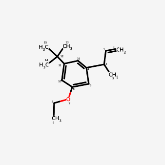 C=C[C](C)c1cc(OCC)cc(C(C)(C)C)c1